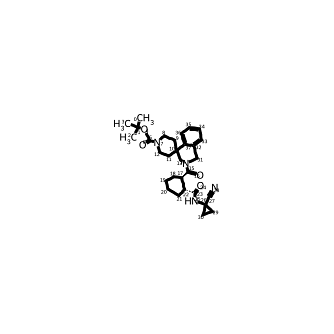 CC(C)(C)OC(=O)N1CCC2(CC1)CN(C(=O)[C@@H]1CCCC[C@H]1C(=O)NC1(C#N)CC1)Cc1ccccc12